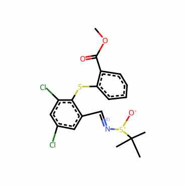 COC(=O)c1ccccc1Sc1c(Cl)cc(Cl)cc1/C=N/[S+]([O-])C(C)(C)C